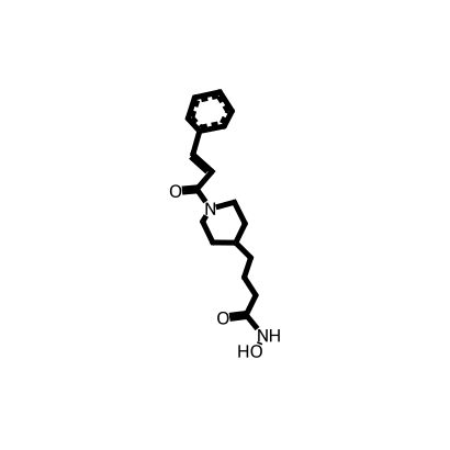 O=C(CCCC1CCN(C(=O)/C=C/c2ccccc2)CC1)NO